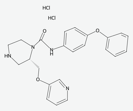 Cl.Cl.O=C(Nc1ccc(Oc2ccccc2)cc1)N1CCNC[C@H]1COc1cccnc1